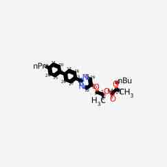 CCCCOC(C)C(=O)O[C@@H](C)COc1cnc(-c2ccc(-c3ccc(CCC)cc3)cc2)nc1